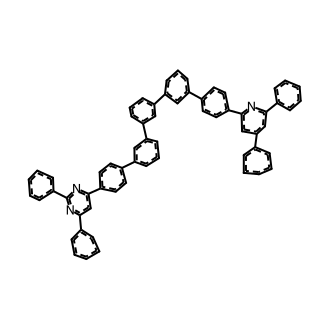 c1ccc(-c2cc(-c3ccccc3)nc(-c3ccc(-c4cccc(-c5cccc(-c6cccc(-c7ccc(-c8cc(-c9ccccc9)nc(-c9ccccc9)n8)cc7)c6)c5)c4)cc3)c2)cc1